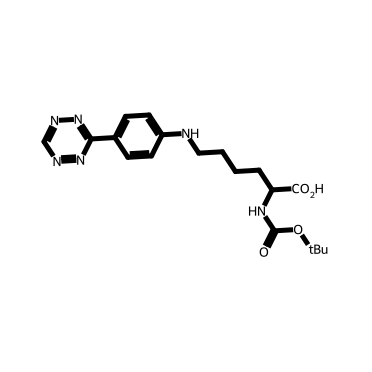 CC(C)(C)OC(=O)NC(CCCCNc1ccc(-c2nncnn2)cc1)C(=O)O